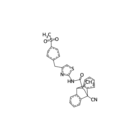 CC1(C(=O)Nc2nc(Cc3ccc(S(C)(=O)=O)cc3)cs2)CC2(C#N)c3ccccc3C1c1ccccc12